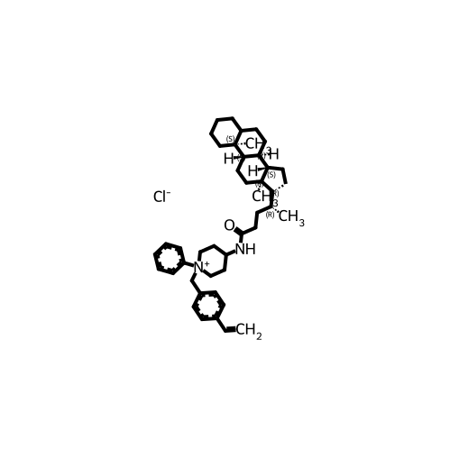 C=Cc1ccc(C[N+]2(c3ccccc3)CCC(NC(=O)CC[C@@H](C)[C@H]3CC[C@H]4[C@@H]5CCC6CCCC[C@]6(C)[C@H]5CC[C@]34C)CC2)cc1.[Cl-]